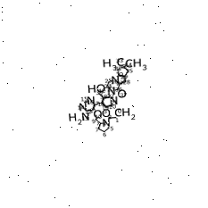 C=CC(=O)N1CCC[C@H]1COc1c(N)ncnc1-c1ccnc(N2CCn3c(cc4c3CC(C)(C)C4)C2=O)c1CO